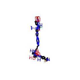 COc1cc(N2CCC(N3CCN(CCCCC(=O)N[C@H](C(=O)N4C[C@H](O)C[C@@H]4C(=O)NCc4ccc(-c5scnc5C)cc4)C(C)(C)C)CC3)CC2)ccc1Nc1ncc(Cl)c(Nc2ccccc2N(C)S(C)(=O)=O)n1